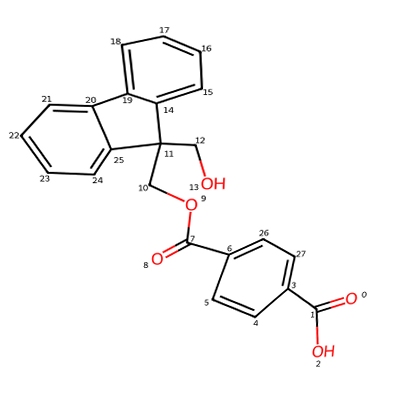 O=C(O)c1ccc(C(=O)OCC2(CO)c3ccccc3-c3ccccc32)cc1